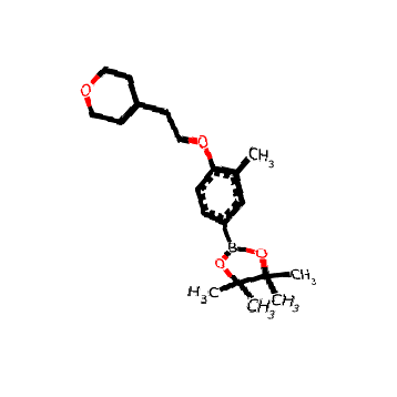 Cc1cc(B2OC(C)(C)C(C)(C)O2)ccc1OCCC1CCOCC1